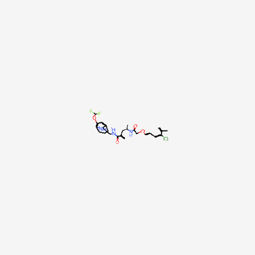 C=C(CC(C)NC(=O)CO/C=C/C=C(/Cl)C(=C)C)C(=O)NCC1NC2=C(OC(F)F)C=C1CCC2